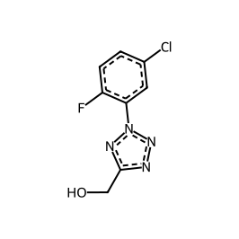 OCc1nnn(-c2cc(Cl)ccc2F)n1